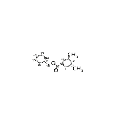 Cc1cc(C)cc(C(=O)OCc2ccccc2)c1